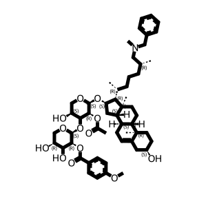 COc1ccc(C(=O)O[C@@H]2C(O)[C@H](O)CO[C@H]2OC2[C@@H](OC(C)=O)[C@H](O[C@H]3C[C@H]4[C@@H]5CC=C6C[C@@H](O)CC[C@]6(C)[C@H]5CC[C@]4(C)[C@H]3[C@H](C)CCC[C@@H](C)CN(C)Cc3ccccc3)OC[C@@H]2O)cc1